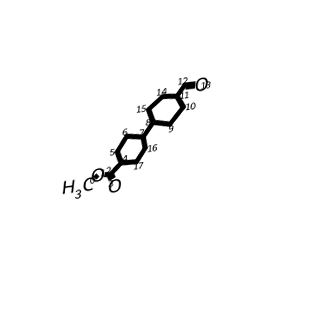 COC(=O)C1CCC(C2CCC(C=O)CC2)CC1